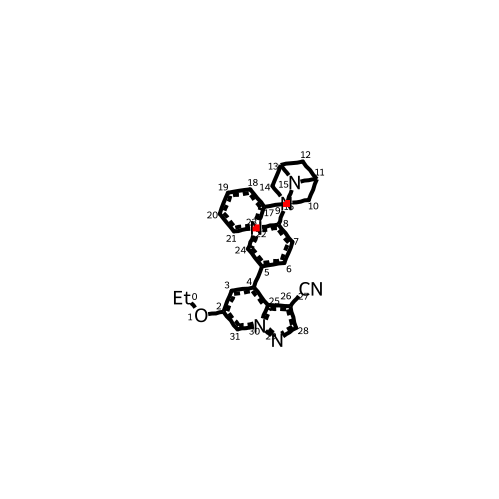 CCOc1cc(-c2ccc(N3CC4CC(C3)N4Cc3ccccn3)nc2)c2c(C#N)cnn2c1